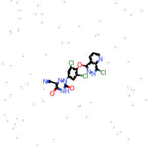 N#Cc1nn(-c2cc(Cl)c(Oc3nnc(Cl)c4ncccc34)c(Cl)c2)c(=O)[nH]c1=O